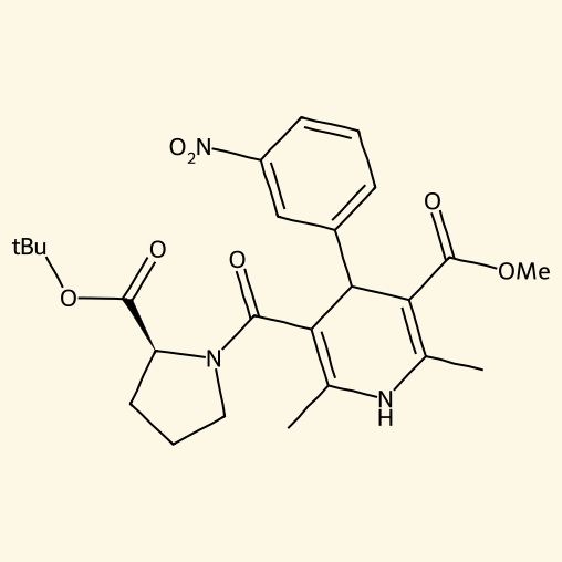 COC(=O)C1=C(C)NC(C)=C(C(=O)N2CCC[C@H]2C(=O)OC(C)(C)C)C1c1cccc([N+](=O)[O-])c1